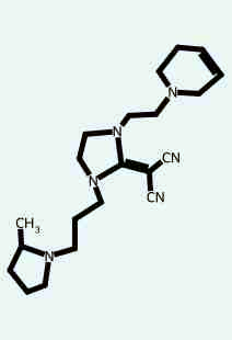 CC1CCCN1CCCN1CCN(CCN2CC=CCC2)C1=C(C#N)C#N